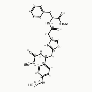 COC(=O)C(Cc1ccccc1)NC(=O)Cc1csc(CC(NC(=O)OC(C)(C)C)c2ccc(NS(=O)(=O)O)cc2)n1